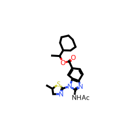 CC(=O)Nc1nc2ccc(C(=O)OC(C)C3CCCCCC3)cc2n1C1=NCC(C)S1